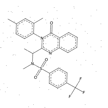 Cc1ccc(-n2c(C(C)N(C)S(=O)(=O)c3ccc(C(F)(F)F)cc3)nc3ccccc3c2=O)c(C)c1